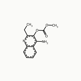 CCc1nc2ccccc2c(N)c1OC(=O)OC